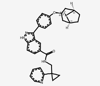 CN1[C@@H]2CC[C@H]1C[C@@H](Oc1ccc(-c3n[nH]c4ccc(C(=O)NCC5(c6ccccn6)CC5)cc34)cc1)C2